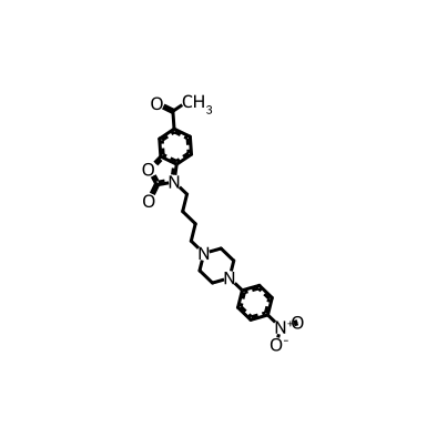 CC(=O)c1ccc2c(c1)oc(=O)n2CCCCN1CCN(c2ccc([N+](=O)[O-])cc2)CC1